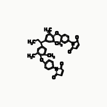 CCC(c1cc(C)c(Oc2ccc(N3C(=O)C=CC3=O)cc2)c(C)c1)c1cc(C)c(Oc2ccc(N3C(=O)C=CC3=O)cc2)c(C)c1